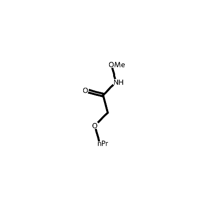 CCCOCC(=O)NOC